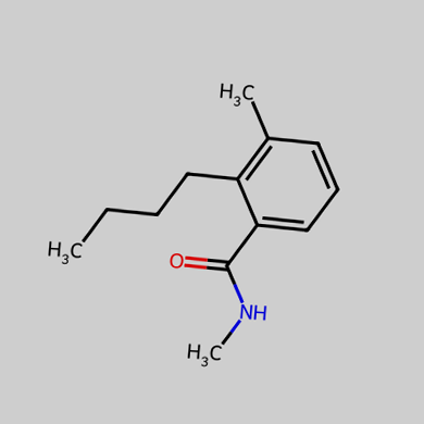 CCCCc1c(C)cccc1C(=O)NC